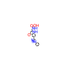 O=C(O)NCc1cc(=O)c2cc(-c3cn(-c4ccccc4)nn3)ccc2[nH]1